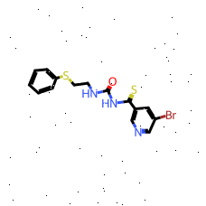 O=C(NCCSc1ccccc1)NC(=S)c1cncc(Br)c1